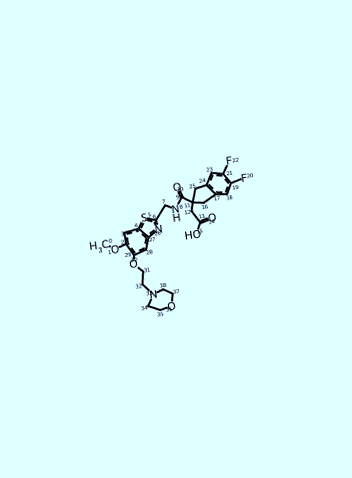 COc1cc2sc(CNC(=O)C3(CC(=O)O)Cc4cc(F)c(F)cc4C3)nc2cc1OCCN1CCOCC1